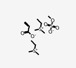 C=CC(=O)[O-].CC[S+](C)C.CC[S+](C)C.COS(=O)(=O)[O-]